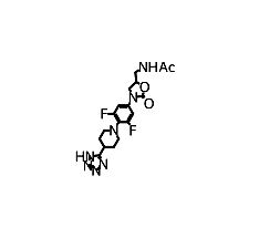 CC(=O)NCC1CN(c2cc(F)c(N3CCC(c4nnn[nH]4)CC3)c(F)c2)C(=O)O1